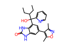 CCC(CC)C(O)(c1ccccn1)c1cc(-c2c(C)noc2C)cc2[nH]c(=O)[nH]c12